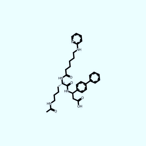 CC(=O)NCCCC[C@H](NC(=O)CCCCCNc1ccccn1)C(=O)NC(CC(=O)O)c1ccc(-c2ccccc2)cc1